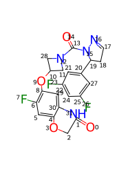 O=C1COc2cc(F)c(OC3CN(C(=O)N4N=CCC4c4cc(F)cc(F)c4)C3)cc2N1